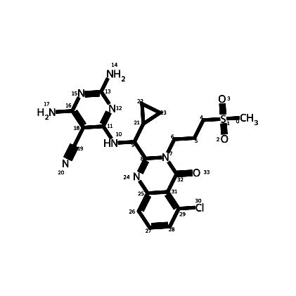 CS(=O)(=O)CCCn1c(C(Nc2nc(N)nc(N)c2C#N)C2CC2)nc2cccc(Cl)c2c1=O